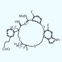 CN/C1=N\C(=N)C(C)(c2cccc(CCC=O)c2)CCC(C)(C)C(F)(F)CSCCc2c(c(F)cc3[nH]ccc23)Oc2ccc(F)c1c2